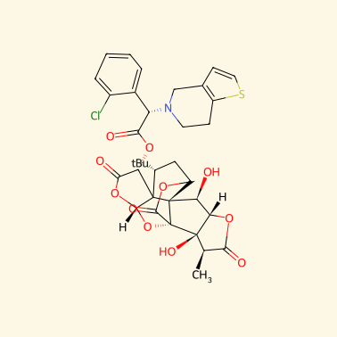 C[C@@H]1C(=O)O[C@H]2[C@H](O)[C@@]34C5C[C@@H](C(C)(C)C)C36[C@@H](OC(=O)[C@@H]6OC(=O)[C@H](c3ccccc3Cl)N3CCc6sccc6C3)O[C@@]4(C(=O)O5)[C@@]12O